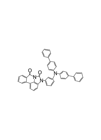 O=c1c2ccccc2c2cccc3c2n1c(=O)n3-c1cccc(N(c2ccc(-c3ccccc3)cc2)c2ccc(-c3ccccc3)cc2)c1